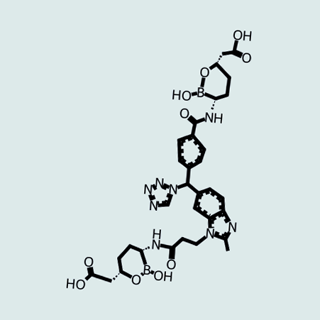 Cc1nc2ccc(C(c3ccc(C(=O)N[C@H]4CC[C@@H](CC(=O)O)OB4O)cc3)n3cnnn3)cc2n1CCC(=O)N[C@H]1CC[C@@H](CC(=O)O)OB1O